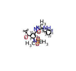 CN(c1cc(C(=O)C2CC2)cc(-c2nnc([C@@](C)(N)Cc3ccccc3)o2)c1)S(C)(=O)=O